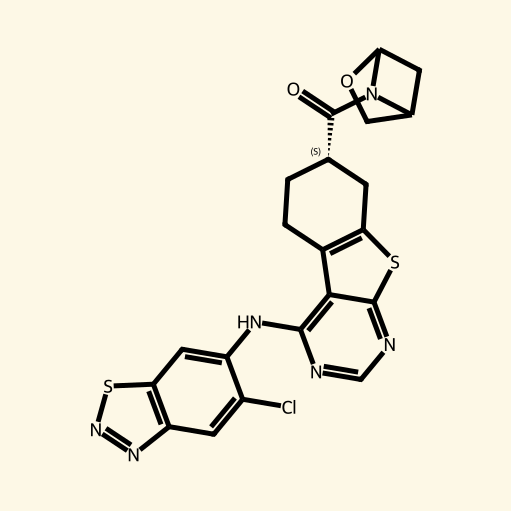 O=C([C@H]1CCc2c(sc3ncnc(Nc4cc5snnc5cc4Cl)c23)C1)N1C2COC1C2